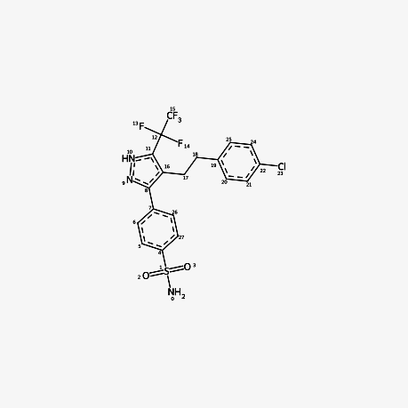 NS(=O)(=O)c1ccc(-c2n[nH]c(C(F)(F)C(F)(F)F)c2CCc2ccc(Cl)cc2)cc1